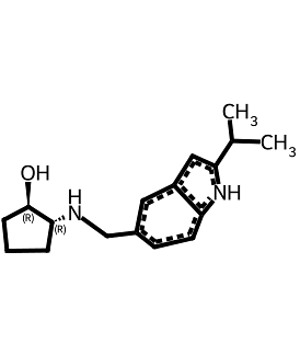 CC(C)c1cc2cc(CN[C@@H]3CCC[C@H]3O)ccc2[nH]1